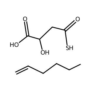 C=CCCCC.O=C(S)CC(O)C(=O)O